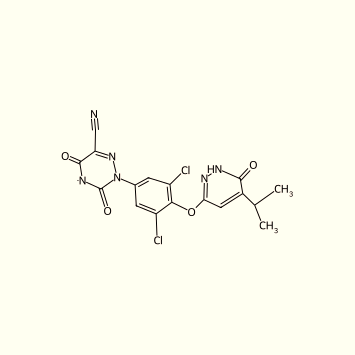 CC(C)c1cc(Oc2c(Cl)cc(N3N=C(C#N)C(=O)[N]C3=O)cc2Cl)n[nH]c1=O